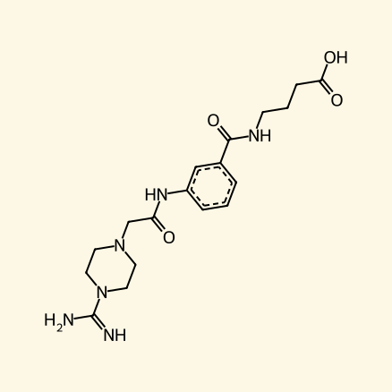 N=C(N)N1CCN(CC(=O)Nc2cccc(C(=O)NCCCC(=O)O)c2)CC1